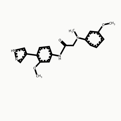 COc1cccc(N(C)CC(=O)Nc2ccc(-c3cn[nH]c3)c(OC)c2)c1